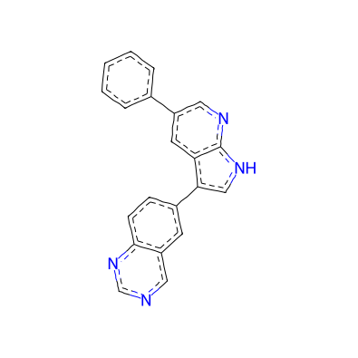 c1ccc(-c2cnc3[nH]cc(-c4ccc5ncncc5c4)c3c2)cc1